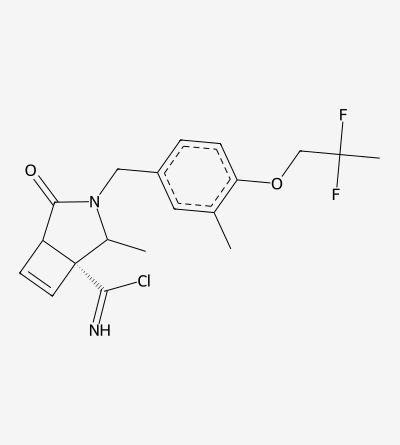 Cc1cc(CN2C(=O)C3C=C[C@]3(C(=N)Cl)C2C)ccc1OCC(C)(F)F